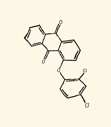 O=C1c2ccccc2C(=O)c2c(Oc3ccc(Cl)cc3Cl)cccc21